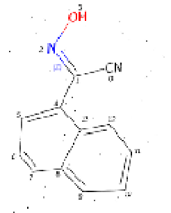 N#C/C(=N\O)c1cccc2ccccc12